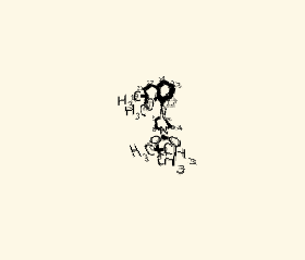 CC(C)(C)OC(=O)N1CCN(c2cccc3c2OC(C)(C)C=C3)CC1